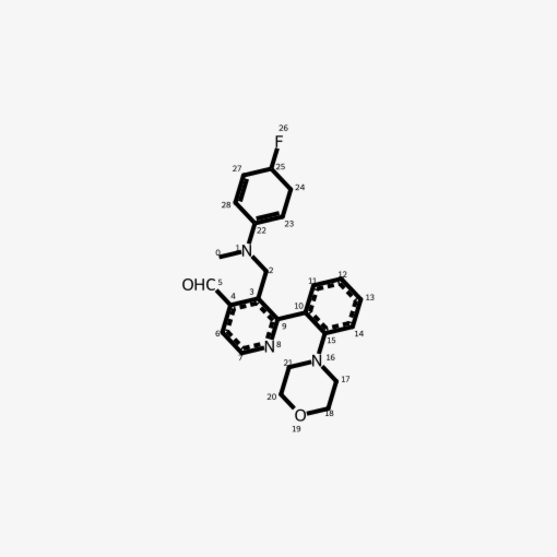 CN(Cc1c(C=O)ccnc1-c1ccccc1N1CCOCC1)C1=CCC(F)C=C1